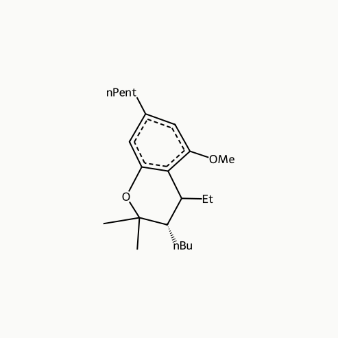 CCCCCc1cc(OC)c2c(c1)OC(C)(C)[C@@H](CCCC)C2CC